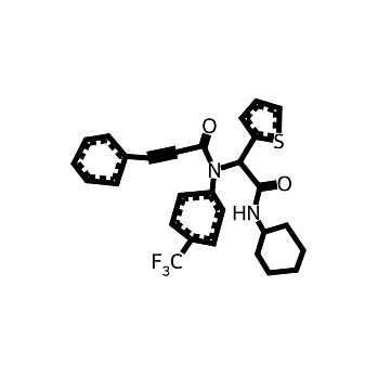 O=C(NC1CCCCC1)C(c1cccs1)N(C(=O)C#Cc1ccccc1)c1ccc(C(F)(F)F)cc1